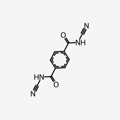 N#CNC(=O)c1ccc(C(=O)NC#N)cc1